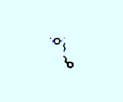 CCN(CCCCNC(=O)c1cc2ccccc2s1)C1CCc2ncsc2C1